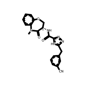 CN1C(=O)[C@@H](NC(=O)c2nnc(Cc3cccc(C#N)c3)[nH]2)COc2ccccc21